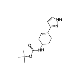 CC(C)(C)OC(=O)NC1CC=C(c2cc[nH]n2)CC1